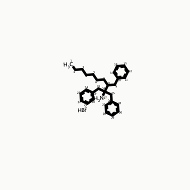 Br.CCCCCCCC(Cc1ccccc1)C(N)(Cc1ccccc1)Cc1ccccc1